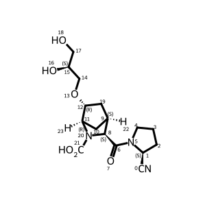 N#C[C@@H]1CCCN1C(=O)[C@@H]1[C@H]2C[C@H]([C@H](OC[C@@H](O)CO)C2)N1C(=O)O